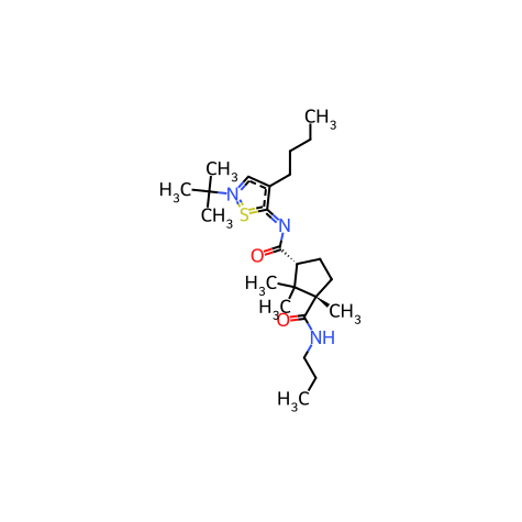 CCCCc1cn(C(C)(C)C)s/c1=N\C(=O)[C@@H]1CC[C@](C)(C(=O)NCCC)C1(C)C